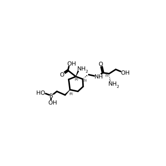 N[C@@H](CO)C(=O)NC[C@@H]1CC[C@@H](CCB(O)O)C[C@]1(N)C(=O)O